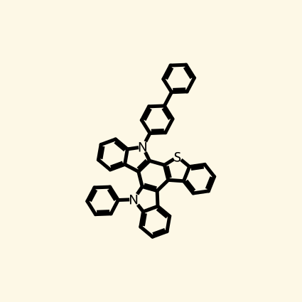 c1ccc(-c2ccc(-n3c4ccccc4c4c3c3sc5ccccc5c3c3c5ccccc5n(-c5ccccc5)c34)cc2)cc1